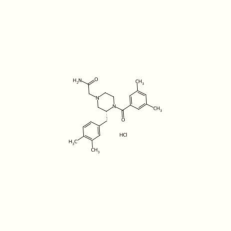 Cc1cc(C)cc(C(=O)N2CCN(CC(N)=O)C[C@H]2Cc2ccc(C)c(C)c2)c1.Cl